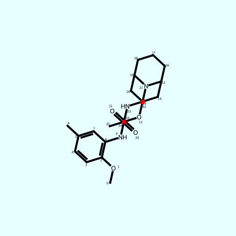 COc1ccc(C)cc1NC(=O)OC1CC2CCCC(C1)N2CNC(C)=O